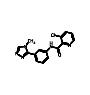 Cn1cnnc1-c1cccc(NC(=O)c2ncccc2Cl)c1